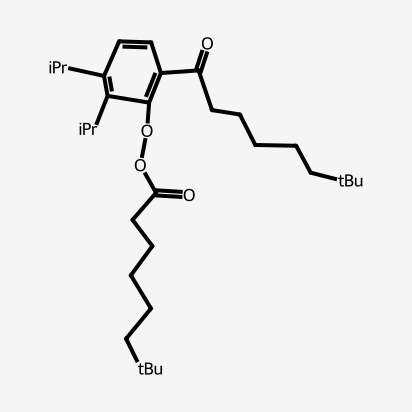 CC(C)c1ccc(C(=O)CCCCCC(C)(C)C)c(OOC(=O)CCCCCC(C)(C)C)c1C(C)C